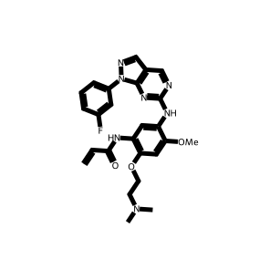 C=CC(=O)Nc1cc(Nc2ncc3cnn(-c4cccc(F)c4)c3n2)c(OC)cc1OCCN(C)C